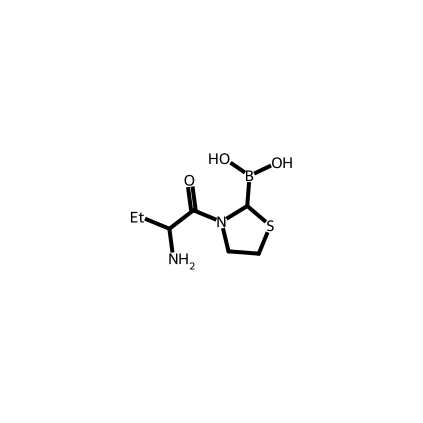 CCC(N)C(=O)N1CCSC1B(O)O